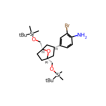 CC(C)(C)[Si](C)(C)OC[C@@]12CC[C@@](CO[Si](C)(C)C(C)(C)C)(C[C@H](c3ccc(N)c(Br)c3)C1)O2